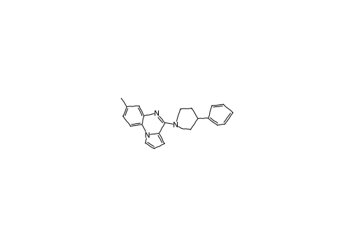 Cc1ccc2c(c1)nc(N1CCC(c3ccccc3)CC1)c1cccn12